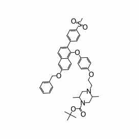 CC1CN(C(=O)OC(C)(C)C)C(C)CN1CCOc1ccc(Oc2c(-c3ccc(S(C)(=O)=O)cc3)ccc3cc(OCc4ccccc4)ccc23)cc1